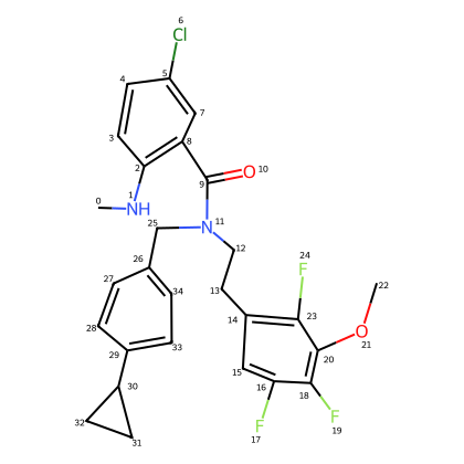 CNc1ccc(Cl)cc1C(=O)N(CCc1cc(F)c(F)c(OC)c1F)Cc1ccc(C2CC2)cc1